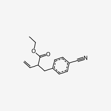 C=CC(Cc1ccc(C#N)cc1)C(=O)OCC